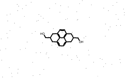 OCC1Cc2ccc3c4c(ccc(c24)C1)CC(CO)C3